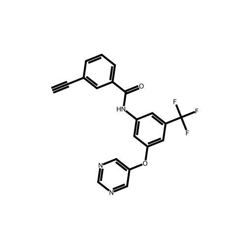 C#Cc1cccc(C(=O)Nc2cc(Oc3cncnc3)cc(C(F)(F)F)c2)c1